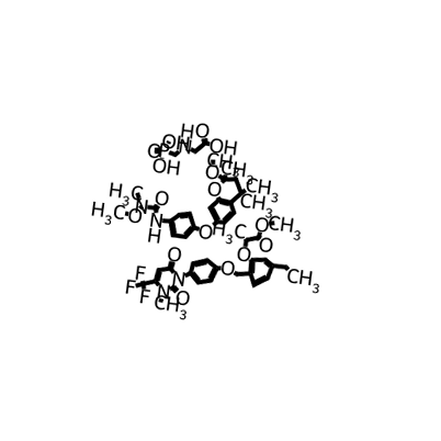 CCc1ccc(COc2ccc(-n3c(=O)cc(C(F)(F)F)n(C)c3=O)cc2)c(OC(C)C(=O)OC)c1.CON(C)C(=O)Nc1ccc(Oc2ccc3c(c2)OC(C)(OC)CC3(C)C)cc1.O=C(O)CNCP(=O)(O)O